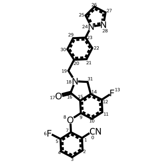 N#Cc1cccc(F)c1Oc1ccc(F)c2c1C(=O)N(Cc1ccc(-n3cccn3)cc1)C2